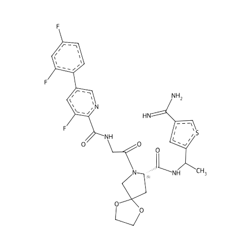 CC(NC(=O)[C@@H]1CC2(CN1C(=O)CNC(=O)c1ncc(-c3ccc(F)cc3F)cc1F)OCCO2)c1cc(C(=N)N)cs1